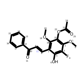 COc1c(F)c(O)c(/C=C/C(=O)c2ccccc2)c(OC)c1OC(C)=O